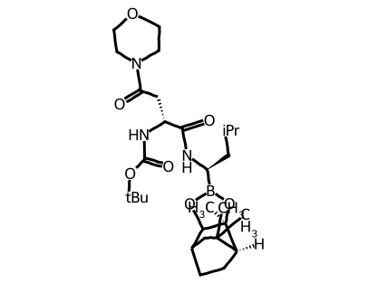 CC(C)C[C@H](NC(=O)[C@@H](CC(=O)N1CCOCC1)NC(=O)OC(C)(C)C)B1OC2C3CC[C@@H](C(C)(C)C3)[C@]2(C)O1